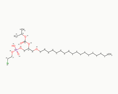 CCCCCCCCCCCCCCCCCCOCC(COP(=O)(O)OCCBr)OC(=O)OC(C)C